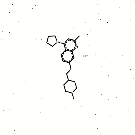 Cc1cc(N2CCCC2)c2ccc(OCC3CCN(C)CC3)cc2n1.Cl